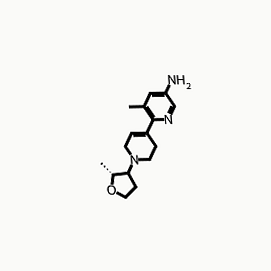 Cc1cc(N)cnc1C1=CCN(C2CCO[C@@H]2C)CC1